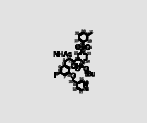 CC(=O)N[C@@H](Cc1cc(F)cc(OCc2ccnnc2)c1)[C@H](O)[C@H]1CN(S(=O)(=O)c2cccc(C)c2)CCN1C(=O)OC(C)(C)C